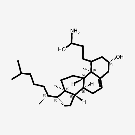 CC(C)CCC[C@@H](C)[C@H]1CC[C@H]2[C@@H]3CC=C4C[C@@H](O)CC(CCC(N)O)[C@]4(C)[C@H]3CC[C@]12C